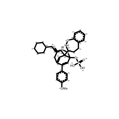 COc1ccc(C2=CC3(OP(=O)(O)O)ONC(=O)CC2=CC3(CCCC2CCCCC2)C2CCc3ccccc3SN2)cc1